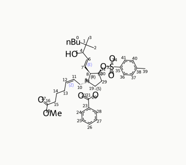 CCCCC(C)(C)C(O)/C=C/[C@@H]1[C@@H](C/C=C\CCCC(=O)OC)[C@@H](OC(=O)c2ccccc2)C[C@@H]1OS(=O)(=O)c1ccc(C)cc1